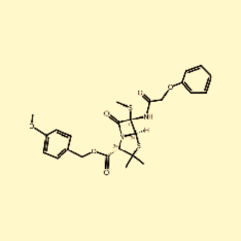 COc1ccc(COC(=O)[C@@H]2N3C(=O)[C@](NC(=O)COc4ccccc4)(SC)[C@H]3SC2(C)C)cc1